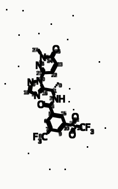 C[C@H](NC(=O)c1cc(C(F)(F)F)cc(S(=O)(=O)C(F)(F)F)c1)c1ncnn1-c1ccc(=O)n(C)n1